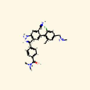 CNCc1cc(C)c(-c2cc3c(-c4ccc(C(=O)N(C)C)cc4)n[nH]c3cc2C#N)c(F)c1